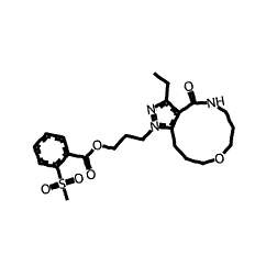 CCc1nn(CCCOC(=O)c2ccccc2S(C)(=O)=O)c2c1C(=O)NCCCOCCC2